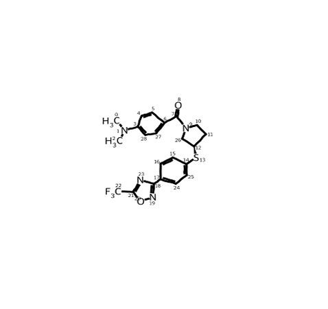 CN(C)c1ccc(C(=O)N2CC[C@@H](Sc3ccc(-c4noc(C(F)(F)F)n4)cc3)C2)cc1